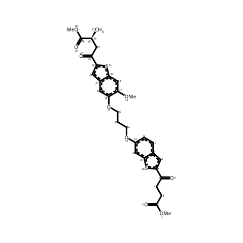 COC(=O)CCC(=O)c1cc2ccc(OCCCOc3cc4cc(C(=O)C[C@H](C)C(=O)OC)sc4cc3OC)cc2s1